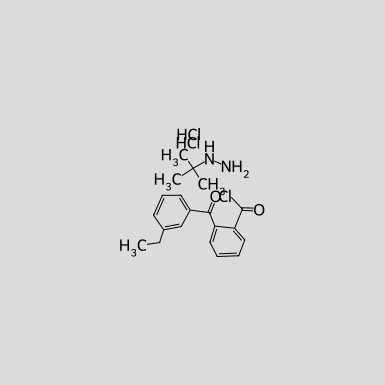 CC(C)(C)NN.CCc1cccc(C(=O)c2ccccc2C(=O)Cl)c1.Cl.Cl